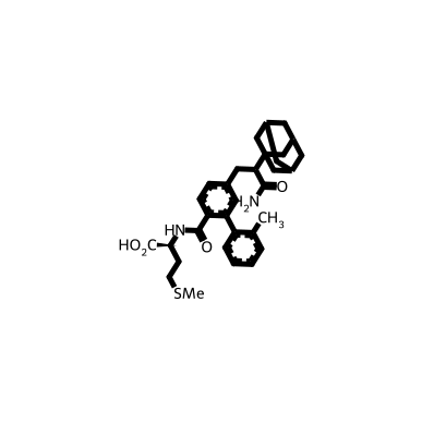 CSCC[C@H](NC(=O)c1ccc(CC(C(N)=O)C23CC4CC(CC(C4)C2)C3)cc1-c1ccccc1C)C(=O)O